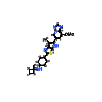 COc1cc(-c2[nH]c3sc(C4CCC(NC5(C)CCC5)CC4)nc3c2C(C)C)cn2ncnc12